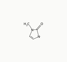 CN1C=C[N]C1=O